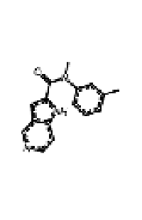 Cc1cccc(N(C)C(=O)c2cc3cnccc3[nH]2)c1